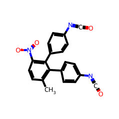 Cc1ccc([N+](=O)[O-])c(-c2ccc(N=C=O)cc2)c1-c1ccc(N=C=O)cc1